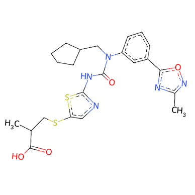 Cc1noc(-c2cccc(N(CC3CCCC3)C(=O)Nc3ncc(SCC(C)C(=O)O)s3)c2)n1